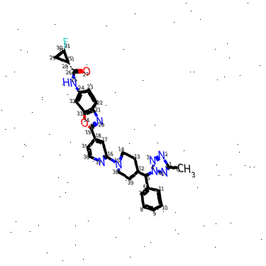 Cc1nnn(C(c2ccccc2)C2CCN(c3cc(-c4nc5ccc(NC(=O)[C@@H]6C[C@@H]6F)cc5o4)ccn3)CC2)n1